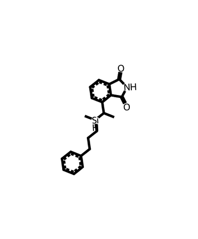 CC(c1cccc2c1C(=O)NC2=O)[SiH](C)CCCc1ccccc1